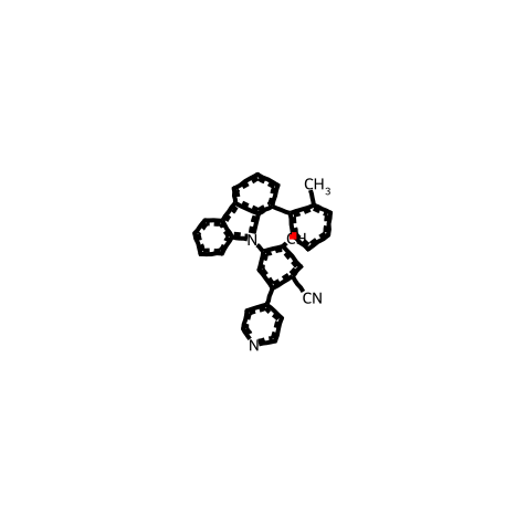 Cc1ccccc1-c1cccc2c3ccccc3n(-c3cc(-c4ccncc4)c(C#N)cc3C)c12